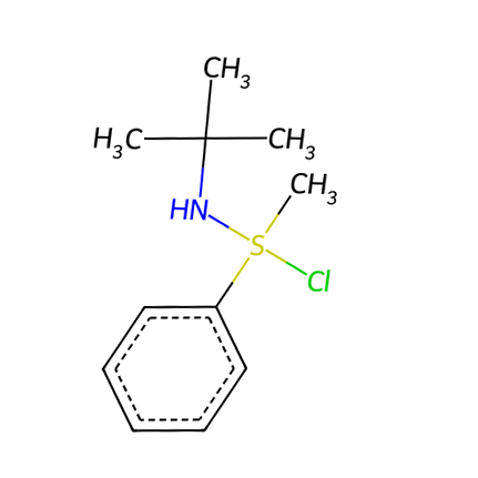 CC(C)(C)NS(C)(Cl)c1ccccc1